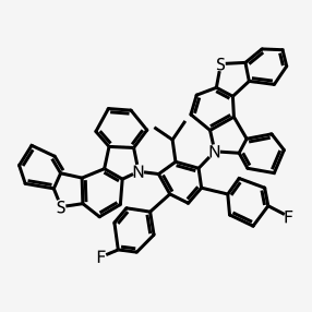 CC(C)c1c(-n2c3ccccc3c3c4c(ccc32)sc2ccccc24)c(-c2ccc(F)cc2)cc(-c2ccc(F)cc2)c1-n1c2ccccc2c2c3c(ccc21)sc1ccccc13